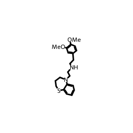 COc1ccc(CCNCCN2CCCSc3ccccc32)cc1OC